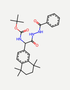 CC(C)(C)OC(=O)NC(C(=O)NNC(=O)c1ccccc1)c1ccc2c(c1)C(C)(C)CCC2(C)C